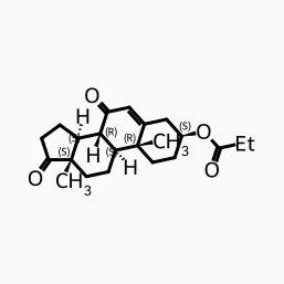 CCC(=O)O[C@H]1CC[C@@]2(C)C(=CC(=O)[C@@H]3[C@@H]2CC[C@]2(C)C(=O)CC[C@@H]32)C1